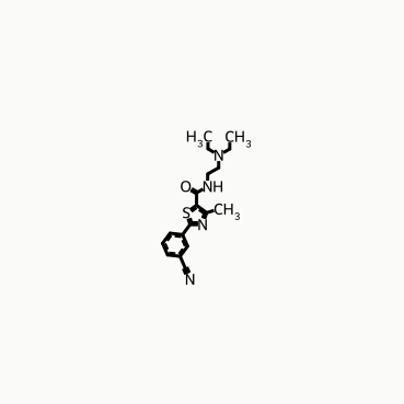 CCN(CC)CCNC(=O)c1sc(-c2cccc(C#N)c2)nc1C